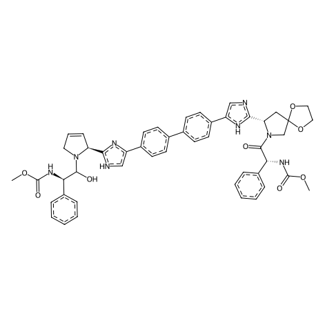 COC(=O)N[C@H](c1ccccc1)C(O)N1CC=C[C@H]1c1nc(-c2ccc(-c3ccc(-c4cnc([C@@H]5CC6(CN5C(=O)[C@H](NC(=O)OC)c5ccccc5)OCCO6)[nH]4)cc3)cc2)c[nH]1